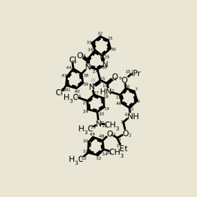 CCC(OCNc1ccc(OC(C)C)c(NC(=O)/C(=N\c2ccc(N(C)C)cc2C)c2nc3ccccc3c(=O)n2-c2ccc(Cl)cc2Cl)c1)Oc1ccc(C)cc1C